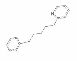 [CH](CCCc1ccccn1)Cc1ccccc1